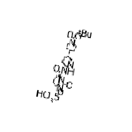 CC(C)(C)OC(=O)N1CCC(c2ccc(NC(=O)[C@@H]3CCC4CN3C(=O)N4OS(=O)(=O)O)nc2)CC1